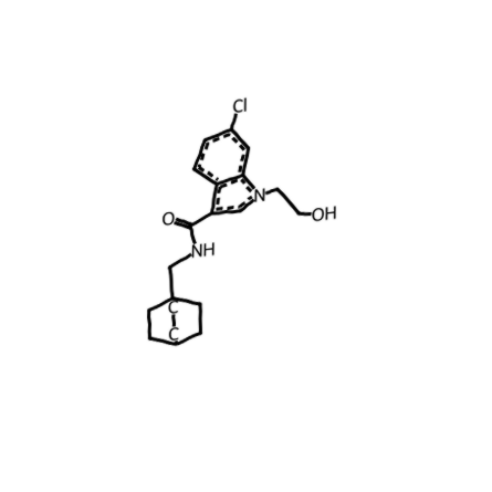 O=C(NCC12CCC(CC1)CC2)c1cn(CCO)c2cc(Cl)ccc12